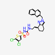 O=C(NC/C=C1\CCCc2cn(Cc3ccc4ccccc4c3)nc21)NS(=O)(=O)c1cc(Cl)c(Cl)s1